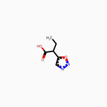 CCC(C(=O)O)c1cnno1